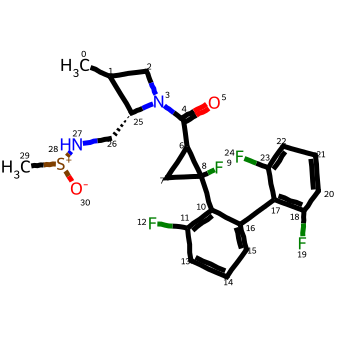 CC1CN(C(=O)C2CC2(F)c2c(F)cccc2-c2c(F)cccc2F)[C@@H]1CN[S+](C)[O-]